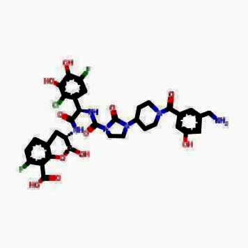 NCc1cc(O)cc(C(=O)N2CCC(N3CCN(C(=O)N[C@@H](C(=O)N[C@H]4Cc5ccc(F)c(C(=O)O)c5OB4O)c4cc(F)c(O)c(O)c4Cl)C3=O)CC2)c1